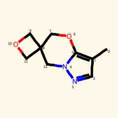 Cc1cnn2c1OCC1(COC1)C2